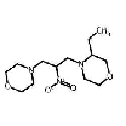 CCC1COCCN1CC(CN1CCOCC1)[N+](=O)[O-]